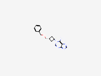 Nc1c2ncnc-2ncn1[C@]1(F)C[C@@H](COCc2ccccc2)C1